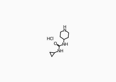 Cl.O=C(NC1CCNCC1)NC1CC1